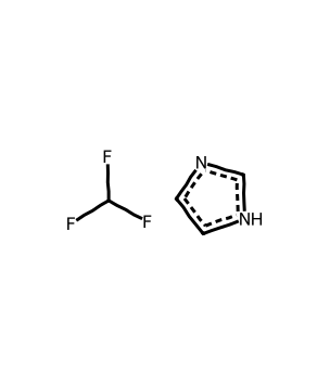 FC(F)F.c1c[nH]cn1